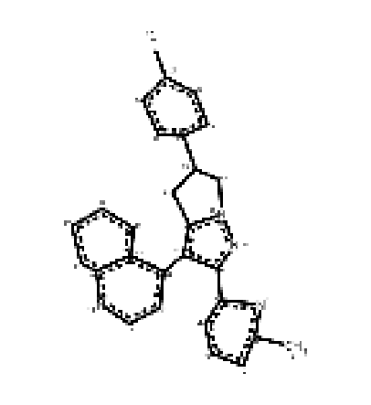 Cc1cccc(-c2nn3c(c2-c2ccnc4ccccc24)CC(c2ccc(F)cc2)C3)n1